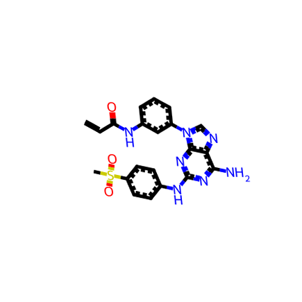 C=CC(=O)Nc1cccc(-n2cnc3c(N)nc(Nc4ccc(S(C)(=O)=O)cc4)nc32)c1